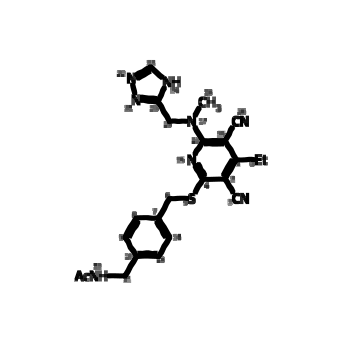 CCc1c(C#N)c(SCc2ccc(CNC(C)=O)cc2)nc(N(C)Cc2nnc[nH]2)c1C#N